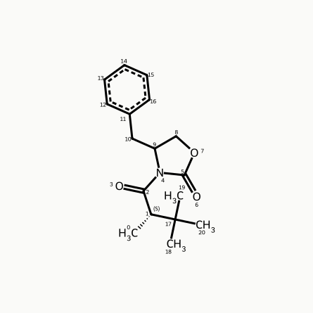 C[C@H](C(=O)N1C(=O)OCC1Cc1ccccc1)C(C)(C)C